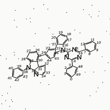 c1ccc(-c2nc(-c3ccccc3)nc(-n3c4ccccc4c4cc(-c5cccc6c5c5cccnc5n6-c5ccccc5)ccc43)n2)cc1